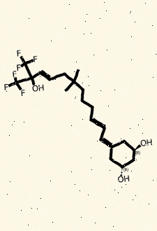 CC(C)(CC=CC(O)(C(F)(F)F)C(F)(F)F)CCCC=CC=C1C[C@@H](O)C[C@H](O)C1